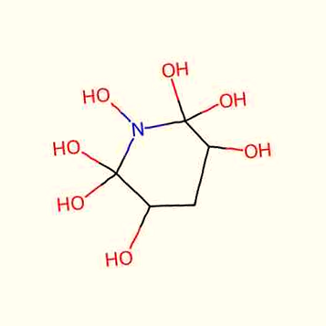 OC1CC(O)C(O)(O)N(O)C1(O)O